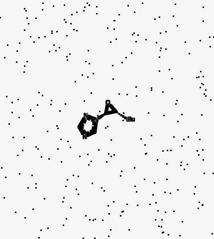 CC(C)(C)[C@H]1O[C@@H]1n1cncn1